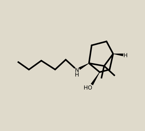 CCCCCN[C@]12CC[C@H](C[C@H]1O)C2(C)C